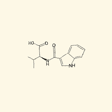 CC(C)[C@H](NC(=O)c1c[nH]c2ccccc12)C(=O)O